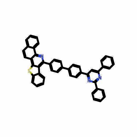 c1ccc(-c2cc(-c3ccc(-c4ccc(-c5nc6c7ccccc7ccc6c6sc7ccccc7c56)cc4)cc3)nc(-c3ccccc3)n2)cc1